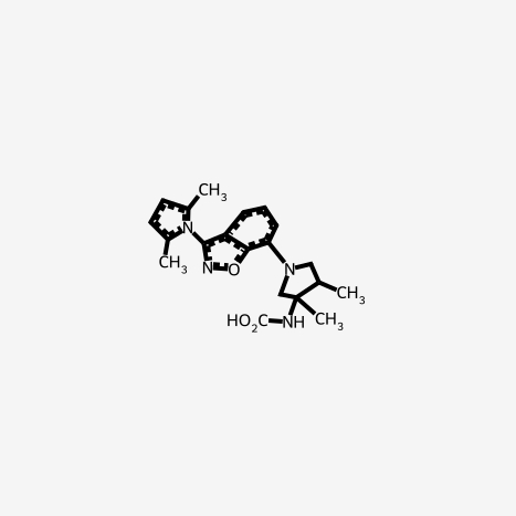 Cc1ccc(C)n1-c1noc2c(N3CC(C)C(C)(NC(=O)O)C3)cccc12